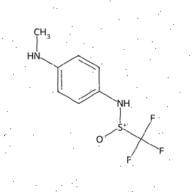 CNc1ccc(N[S+]([O-])C(F)(F)F)cc1